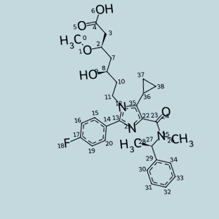 CO[C@@H](CC(=O)O)C[C@H](O)CCn1c(-c2ccc(F)cc2)nc(C(=O)N(C)[C@H](C)c2ccccc2)c1C1CC1